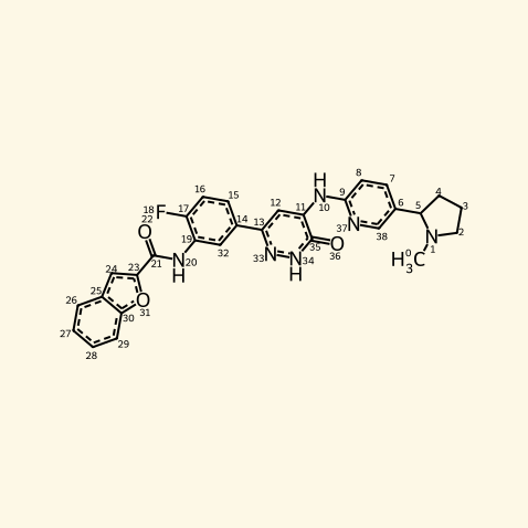 CN1CCCC1c1ccc(Nc2cc(-c3ccc(F)c(NC(=O)c4cc5ccccc5o4)c3)n[nH]c2=O)nc1